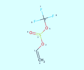 C=COS(=O)OC(F)(F)F